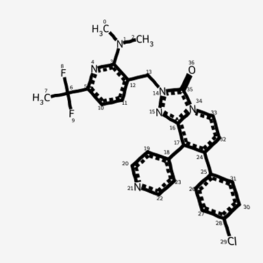 CN(C)c1nc(C(C)(F)F)ccc1Cn1nc2c(-c3ccncc3)c(-c3ccc(Cl)cc3)ccn2c1=O